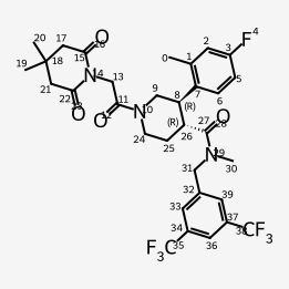 Cc1cc(F)ccc1[C@@H]1CN(C(=O)CN2C(=O)CC(C)(C)CC2=O)CC[C@H]1C(=O)N(C)Cc1cc(C(F)(F)F)cc(C(F)(F)F)c1